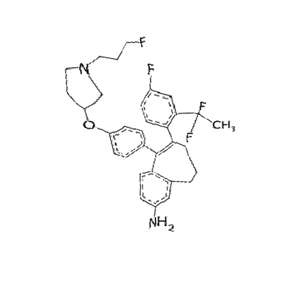 CC(F)(F)c1cc(F)ccc1C1=C(c2ccc(OC3CCN(CCCF)C3)cc2)c2ccc(N)cc2CCC1